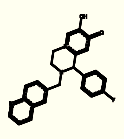 O=c1cc2n(cc1O)CCN(Cc1ccc3ncccc3c1)C2c1ccc(F)cc1